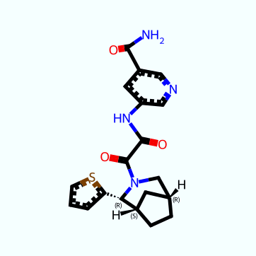 NC(=O)c1cncc(NC(=O)C(=O)N2C[C@@H]3CC[C@@H](C3)[C@@H]2c2cccs2)c1